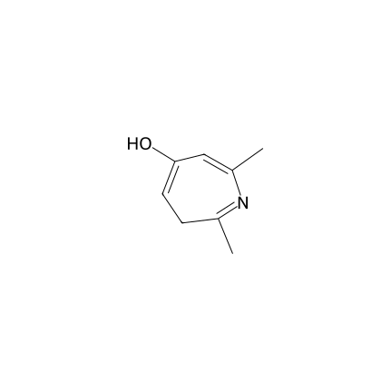 CC1=CC(O)=CCC(C)=N1